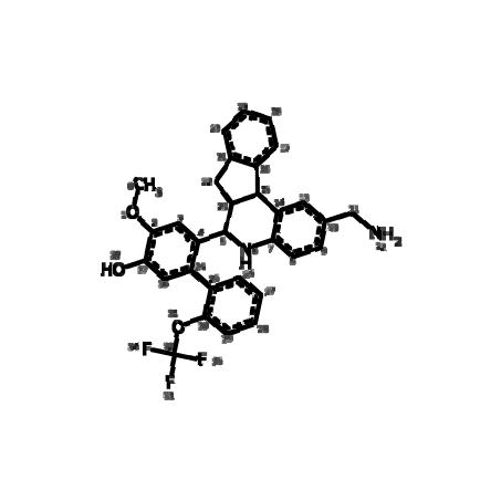 COc1cc(C2Nc3ccc(CN)cc3C3c4ccccc4CC23)c(-c2ccccc2OC(F)(F)F)cc1O